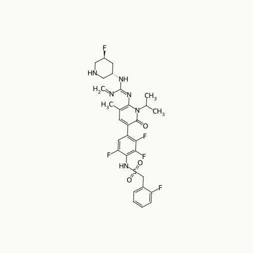 C=N/C(=N\c1c(C)cc(-c2cc(F)c(NS(=O)(=O)Cc3ccccc3F)c(F)c2F)c(=O)n1C(C)C)N[C@@H]1CNC[C@@H](F)C1